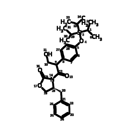 CC(C)[Si](Oc1ccc(C(CO)C(=O)N2C(=O)OC[C@H]2Cc2ccccc2)cc1)(C(C)C)C(C)C